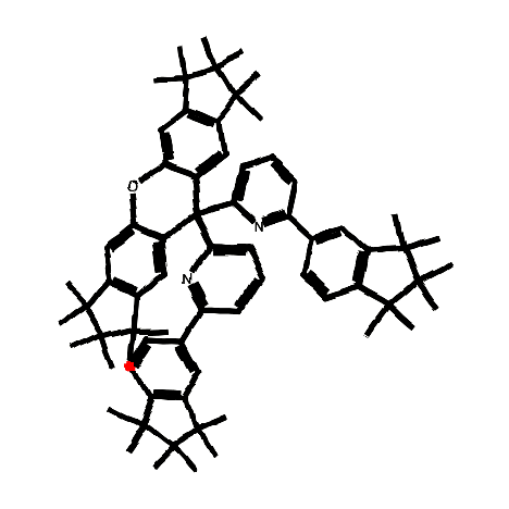 CC1(C)c2ccc(-c3cccc(C4(c5cccc(-c6ccc7c(c6)C(C)(C)C(C)(C)C7(C)C)n5)c5cc6c(cc5Oc5cc7c(cc54)C(C)(C)C(C)(C)C7(C)C)C(C)(C)C(C)(C)C6(C)C)n3)cc2C(C)(C)C1(C)C